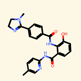 Cc1ccc(NC(=O)c2cccc(O)c2NC(=O)c2ccc(C3=NCCN3C)cc2)nc1